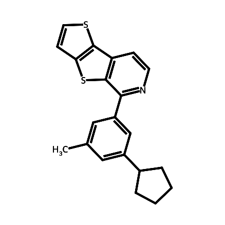 Cc1cc(-c2nccc3c2sc2ccsc23)cc(C2CCCC2)c1